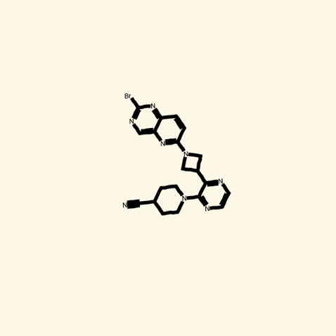 N#CC1CCN(c2nccnc2C2CN(c3ccc4nc(Br)ncc4n3)C2)CC1